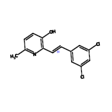 Cc1ccc(O)c(/C=C/c2cc(Cl)cc(Cl)c2)n1